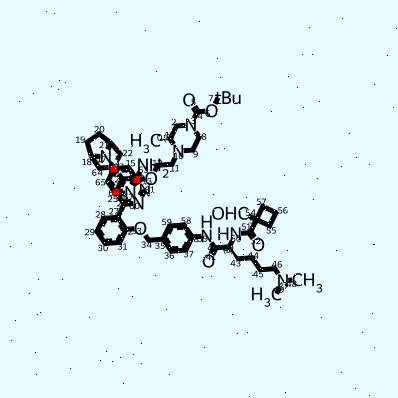 C[C@@H]1CN(C(=O)OC(C)(C)C)CCN1CCOc1cc(N2C3CCC2CN(c2cc(-c4ccccc4OCc4ccc(NC(=O)[C@H](CCCCN(C)C)NC(=O)C5(C=O)CCC5)cc4)nnc2N)C3)ccn1